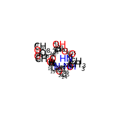 COc1ccc(CC[C@H]2OC(=O)[C@@H]3CCCCN3C(=O)[C@@H](C3CCCCC3)NC(=O)C(C)(C)NC(=O)COc3cc(O)cc2c3)cc1OC